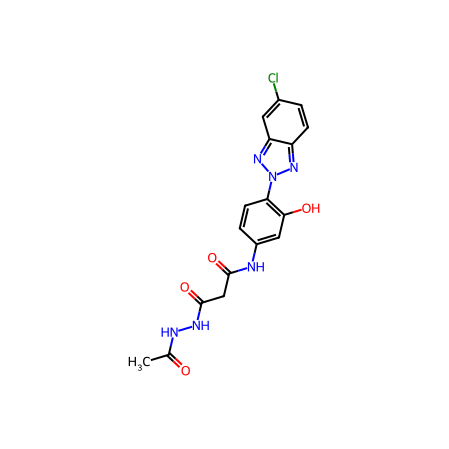 CC(=O)NNC(=O)CC(=O)Nc1ccc(-n2nc3ccc(Cl)cc3n2)c(O)c1